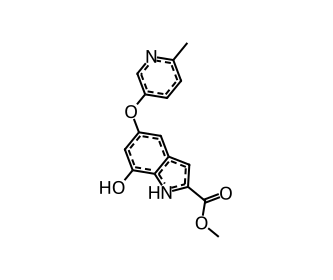 COC(=O)c1cc2cc(Oc3ccc(C)nc3)cc(O)c2[nH]1